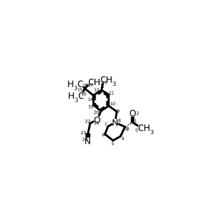 CC(=O)[C@@H]1CCCCN1Cc1cc(C)c(C(C)(C)C)cc1OCC#N